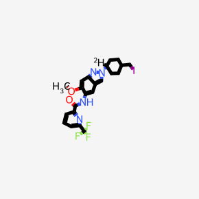 [2H]C1(n2cc3cc(NC(=O)c4cccc(C(F)(F)F)n4)c(OC)cc3n2)CCC(CI)CC1